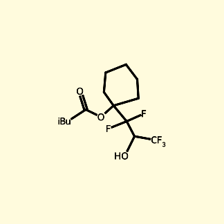 CCC(C)C(=O)OC1(C(F)(F)C(O)C(F)(F)F)CCCCC1